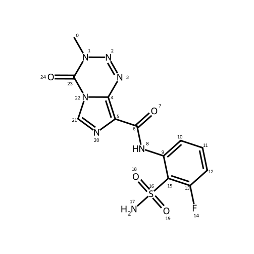 Cn1nnc2c(C(=O)Nc3cccc(F)c3S(N)(=O)=O)ncn2c1=O